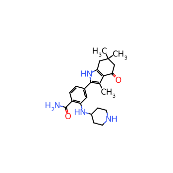 Cc1c(-c2ccc(C(N)=O)c(NC3CCNCC3)c2)[nH]c2c1C(=O)CC(C)(C)C2